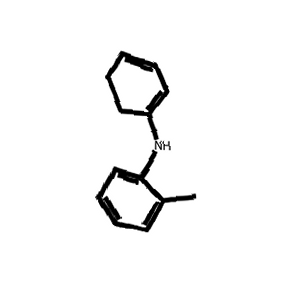 Cc1ccccc1NC1=CC=CCC1